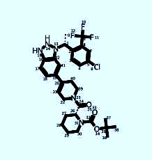 C[C@H](c1ccc(Cl)cc1C(F)(F)F)N1NNc2ccc(C3=CCN(C(=O)[C@H]4CCCCN4C(=O)OC(C)(C)C)CC3)cc21